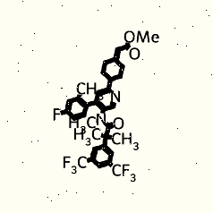 COC(=O)C=C1CCC(c2cc(-c3ccc(F)cc3C)c(N(C)C(=O)C(C)(C)c3cc(C(F)(F)F)cc(C(F)(F)F)c3)cn2)CC1